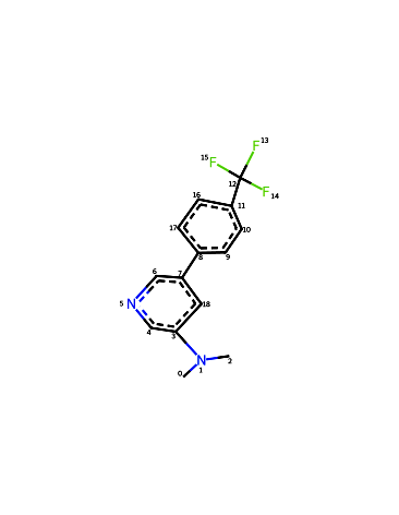 CN(C)c1cncc(-c2ccc(C(F)(F)F)cc2)c1